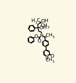 C[C@@H](c1ccc(-c2ccn(C)c(=O)c2)cc1)N(CCC(O)(CC(C)(C)O)c1ccccc1)C(=O)Oc1ccccc1